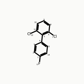 Fc1ccc(-c2c(Cl)cccc2Cl)cc1